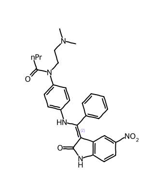 CCCC(=O)N(CCN(C)C)c1ccc(N/C(=C2\C(=O)Nc3ccc([N+](=O)[O-])cc32)c2ccccc2)cc1